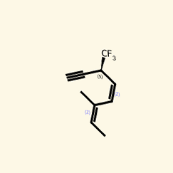 C#C[C@H](/C=C\C(C)=C/C)C(F)(F)F